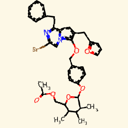 CC(=O)OCC1OC(Oc2ccc(COc3c(Cc4ccco4)cc4c(Cc5ccccc5)nc(Br)cn34)cc2)C(C)C(C)C1C